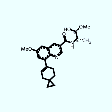 COc1cc(C2=CCC3(CC2)CC3)c2ncc(C(=O)N[C@@H](C)[C@@H](O)OC)cc2c1